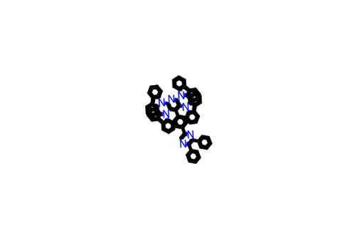 c1ccc(-c2ncc(-c3ccc(-c4c(-n5c6ccccc6c6ccccc65)c(-n5c6ccccc6c6ccccc65)nc(-n5c6ccccc6c6ccccc65)c4-n4c5ccccc5c5ccccc54)cc3)nc2-c2ccccc2)cc1